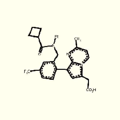 CCN(Cc1cc(C(F)(F)F)ccc1-c1cc(CC(=O)O)n2ccc(C)nc12)C(=O)C1CCC1